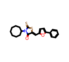 O=C1C(=Cc2ccc(-c3ccccc3)o2)SC(=S)N1C1CCCCCCC1